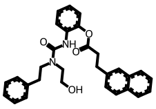 O=C(CCc1ccc2ccccc2c1)Oc1ccccc1NC(=O)N(CCO)CCc1ccccc1